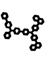 C1=CC(N(C2=CC=C(c3ccc(N(c4ccc(-c5cccc6ccccc56)cc4)c4ccc(-c5cccc6ccccc56)cc4)cc3)CC2)c2ccccc2)CC=C1c1ccccc1